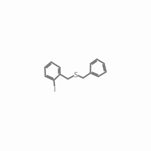 Ic1ccccc1CSCc1ccccc1